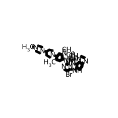 Cc1cc(Nc2ncc(Br)c(Nc3ccc4nccnc4c3NS(C)(=O)=O)n2)c(N(C)C)cc1N1CCC(N2CCN(C)CC2)CC1